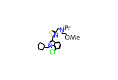 COCCN(Cc1csc(-c2cn(CC3CCCCC3)c3c(Cl)cccc23)n1)C(C)C